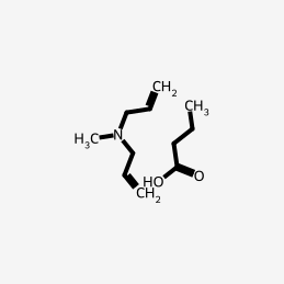 C=CCN(C)CC=C.CCCC(=O)O